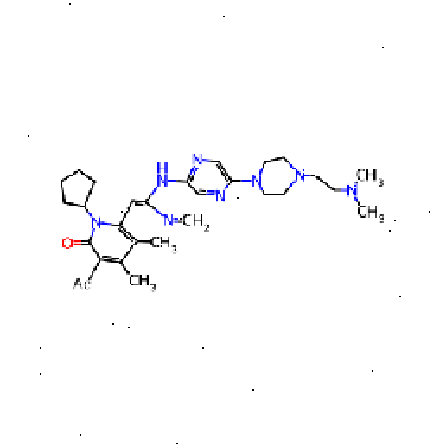 C=N/C(=C\c1c(C)c(C)c(C(C)=O)c(=O)n1C1CCCC1)Nc1cnc(N2CCN(CCN(C)C)CC2)cn1